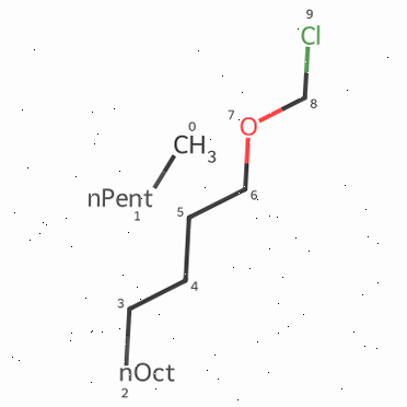 CCCCCC.CCCCCCCCCCCCOCCl